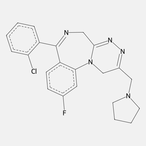 Fc1ccc2c(c1)N1CC(CN3CCCC3)=NN=C1CN=C2c1ccccc1Cl